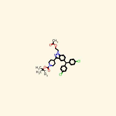 CC(=O)OCCn1nc(C2CCN(C(=O)OC(C)(C)C)CC2)c2cc(C(c3ccc(Cl)cc3)c3ccc(Cl)cc3)ccc21